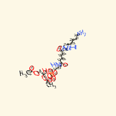 CC(=O)OCC(COP(=O)(O)OCCNC(=O)CCCCC(=O)NCCCCCN)OC(C)=O